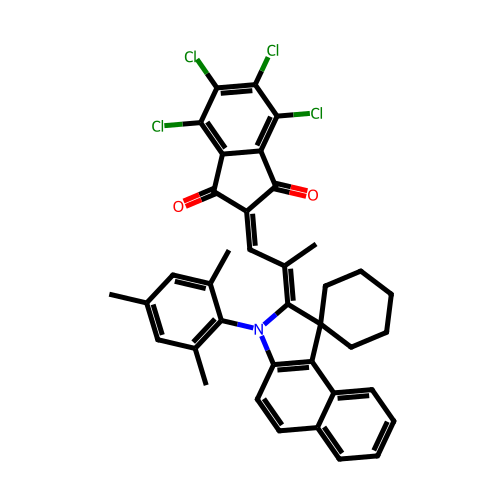 C/C(C=C1C(=O)c2c(Cl)c(Cl)c(Cl)c(Cl)c2C1=O)=C1/N(c2c(C)cc(C)cc2C)c2ccc3ccccc3c2C12CCCCC2